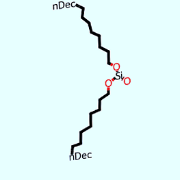 CCCCCCCCCCCCCCCCCCO[Si](=O)OCCCCCCCCCCCCCCCCCC